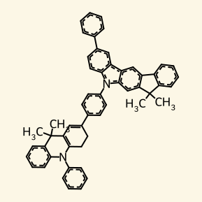 CC1(C)C2=C(CCC(c3ccc(-n4c5ccc(-c6ccccc6)cc5c5cc6c(cc54)C(C)(C)c4ccccc4-6)cc3)=C2)N(c2ccccc2)c2ccccc21